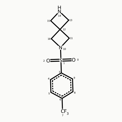 O=S(=O)(c1ccc(C(F)(F)F)cc1)N1CC2(CNC2)C1